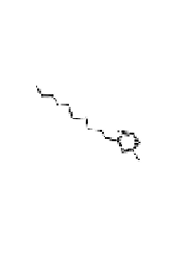 CCCCCCCCCCc1[c]ccc(C)c1